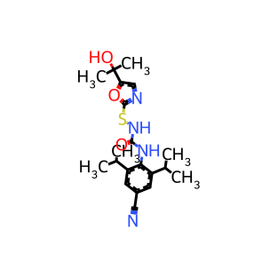 CC(C)c1cc(C#N)cc(C(C)C)c1NC(=O)NSc1ncc(C(C)(C)O)o1